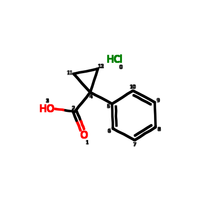 Cl.O=C(O)C1(c2ccccc2)CC1